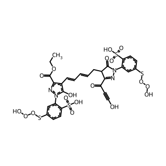 CCOC(=O)c1nn(-c2cc(SOOO)ccc2S(=O)(=O)O)c(O)c1C=CC=CCC1C(=O)N(c2cc(SOOO)ccc2S(=O)(=O)O)N=C1C(=O)C#CO